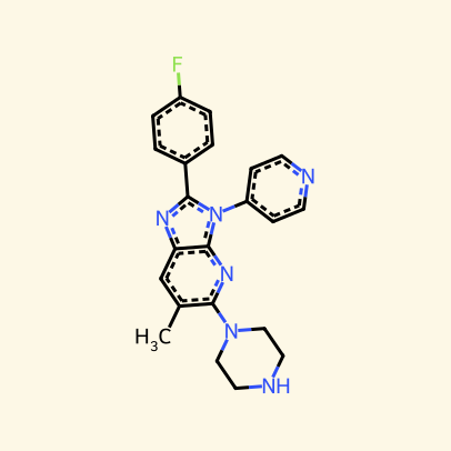 Cc1cc2nc(-c3ccc(F)cc3)n(-c3ccncc3)c2nc1N1CCNCC1